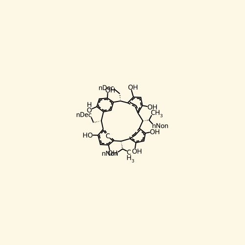 CCCCCCCCCCC[C@@H]1c2cc(c(O)cc2O)[C@H](CCCCCCCCCCC)c2cc(c(O)cc2O)[C@H](C(C)CCCCCCCCC)c2cc(c(O)cc2O)[C@H](C(C)CCCCCCCCC)c2cc1c(O)cc2O